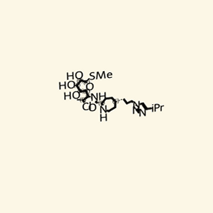 CS[C@H]1O[C@H]([C@H](NC(=O)[C@@H]2CC[C@H](CCCn3cc(C(C)C)nn3)CCN2)[C@H](C)Cl)[C@H](O)[C@H](O)[C@H]1O